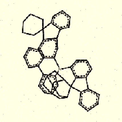 c1ccc(-c2ccccc2N(c2ccc3c(c2)-c2ccccc2C32CCCCC2)c2cccc3c2C2(c4ccccc4-3)C3CC4CC(C3)CC2C4)cc1